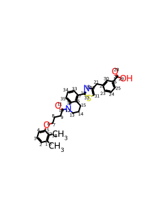 Cc1cccc(OCCCC(=O)N2CCCc3c(-c4nc(Cc5cccc(C(=O)O)c5)cs4)cccc32)c1C